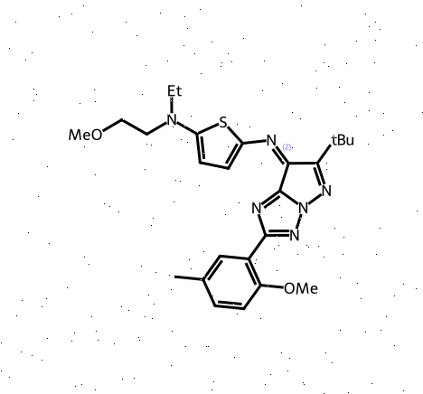 CCN(CCOC)c1ccc(/N=C2/C(C(C)(C)C)=Nn3nc(-c4cc(C)ccc4OC)nc32)s1